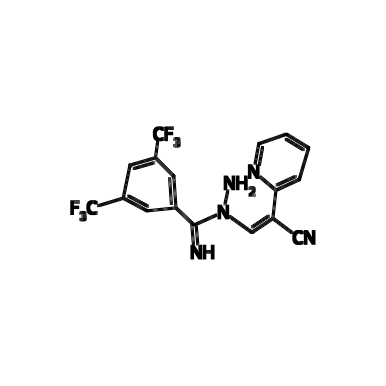 N#CC(=CN(N)C(=N)c1cc(C(F)(F)F)cc(C(F)(F)F)c1)c1ccccn1